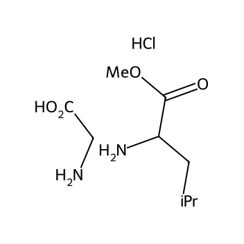 COC(=O)C(N)CC(C)C.Cl.NCC(=O)O